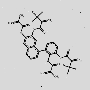 C=C(C)C(=O)Oc1cc2cccc(-c3cccc(OC(=O)C(=C)C(F)(F)F)c3OC(=O)C(=C)C)c2cc1OC(=O)C(=C)C(F)(F)F